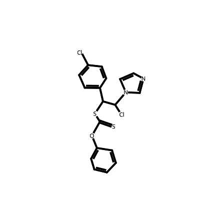 S=C(Oc1ccccc1)SC(c1ccc(Cl)cc1)C(Cl)n1ccnc1